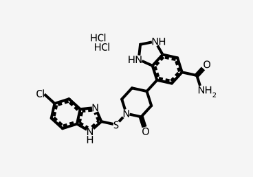 Cl.Cl.NC(=O)c1cc2c(c(C3CCN(Sc4nc5cc(Cl)ccc5[nH]4)C(=O)C3)c1)NCN2